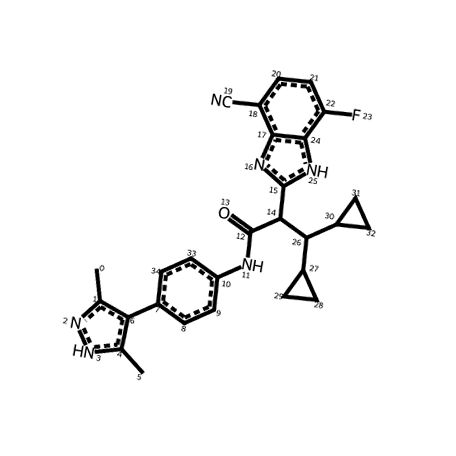 Cc1n[nH]c(C)c1-c1ccc(NC(=O)C(c2nc3c(C#N)ccc(F)c3[nH]2)C(C2CC2)C2CC2)cc1